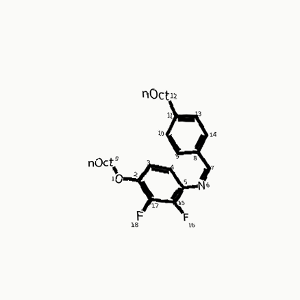 CCCCCCCCOc1ccc(/N=C\c2ccc(CCCCCCCC)cc2)c(F)c1F